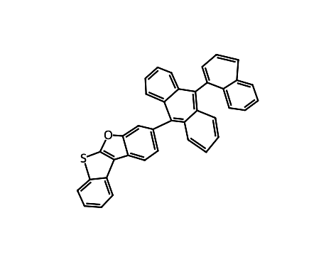 c1ccc2c(-c3c4ccccc4c(-c4ccc5c(c4)oc4sc6ccccc6c45)c4ccccc34)cccc2c1